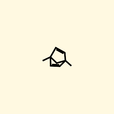 CC12C=CC(C)(C=C1)C2